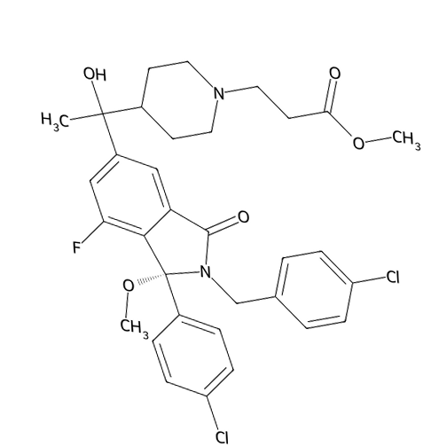 COC(=O)CCN1CCC(C(C)(O)c2cc(F)c3c(c2)C(=O)N(Cc2ccc(Cl)cc2)[C@@]3(OC)c2ccc(Cl)cc2)CC1